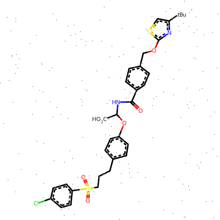 CC(C)(C)c1csc(OCc2ccc(C(=O)NC(Oc3ccc(CCCS(=O)(=O)c4ccc(Cl)cc4)cc3)C(=O)O)cc2)n1